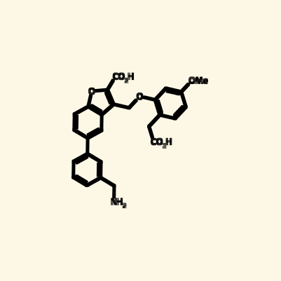 COc1ccc(CC(=O)O)c(OCc2c(C(=O)O)oc3ccc(-c4cccc(CN)c4)cc23)c1